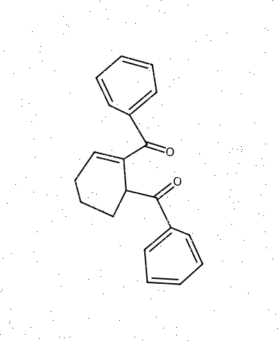 O=C(C1=CCCCC1C(=O)c1ccccc1)c1ccccc1